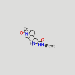 CCC[C@@H](C)NC(=O)[C@@H]1C=C2c3cccc4c3c(cn4C(=O)CC)C[C@H]2N(C)C1